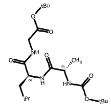 CC(C)C[C@H](NC(=O)[C@H](C)NC(=O)OC(C)(C)C)C(=O)NCC(=O)OC(C)(C)C